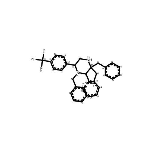 O=CC1N(Cc2ccccc2)C(c2ccc(C(F)(F)F)cc2)CNC1(Cc1ccccc1)Cc1ccccn1